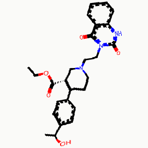 CCOC(=O)[C@@H]1CN(CCn2c(=O)[nH]c3ccccc3c2=O)CCC1c1ccc(C(C)O)cc1